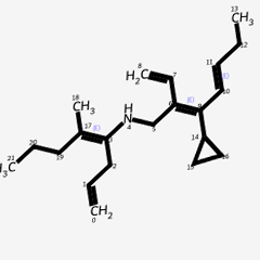 C=CC/C(NC/C(C=C)=C(/C=C/CC)C1CC1)=C(/C)CCC